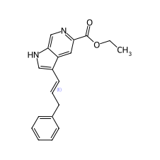 CCOC(=O)c1cc2c(/C=C/Cc3ccccc3)c[nH]c2cn1